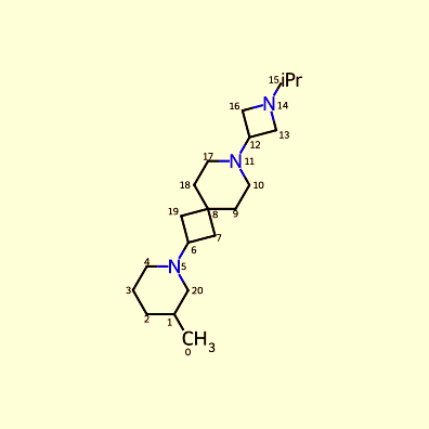 CC1CCCN(C2CC3(CCN(C4CN(C(C)C)C4)CC3)C2)C1